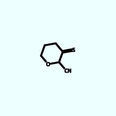 N#CC1OCCCC1=S